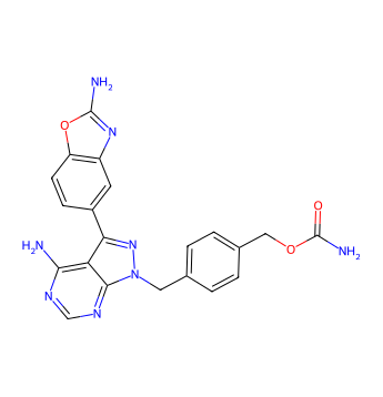 NC(=O)OCc1ccc(Cn2nc(-c3ccc4oc(N)nc4c3)c3c(N)ncnc32)cc1